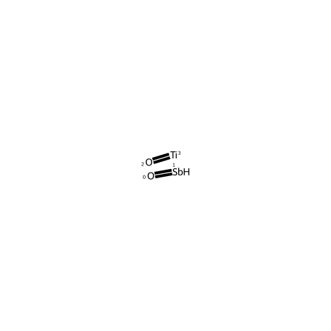 [O]=[SbH].[O]=[Ti]